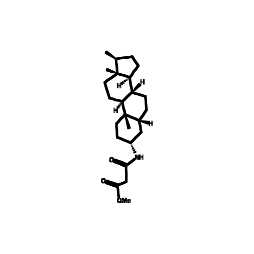 COC(=O)CC(=O)N[C@@H]1CC[C@@]2(C)[C@H](CC[C@@H]3[C@@H]2CC[C@]2(C)[C@@H](C)CC[C@@H]32)C1